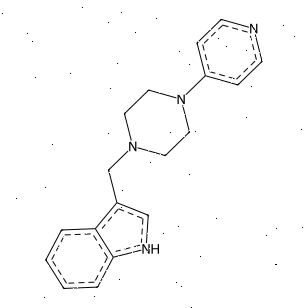 c1ccc2c(CN3CCN(c4ccncc4)CC3)c[nH]c2c1